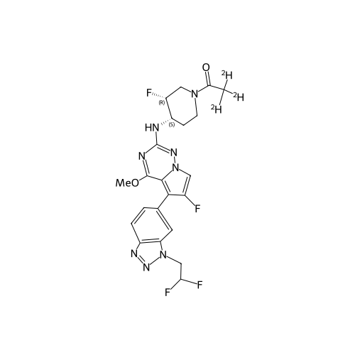 [2H]C([2H])([2H])C(=O)N1CC[C@H](Nc2nc(OC)c3c(-c4ccc5nnn(CC(F)F)c5c4)c(F)cn3n2)[C@H](F)C1